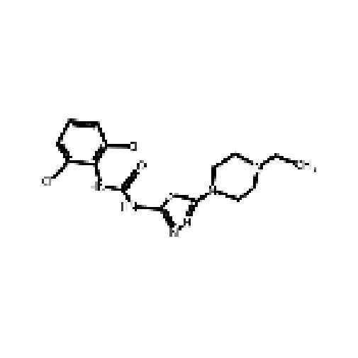 CCN1CCN(c2nnc(NC(=O)Nc3c(Cl)cccc3Cl)s2)CC1